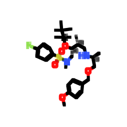 COc1ccc(COC[C@H](C)NC[C@@H](C)[C@H](CN(C)S(=O)(=O)c2ccc(F)cc2)O[Si](C)(C)C(C)(C)C)cc1